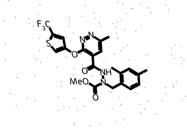 COC(=O)N(Cc1ccc(C)cc1C)NC(=O)c1cc(C)nnc1Oc1csc(C(F)(F)F)c1